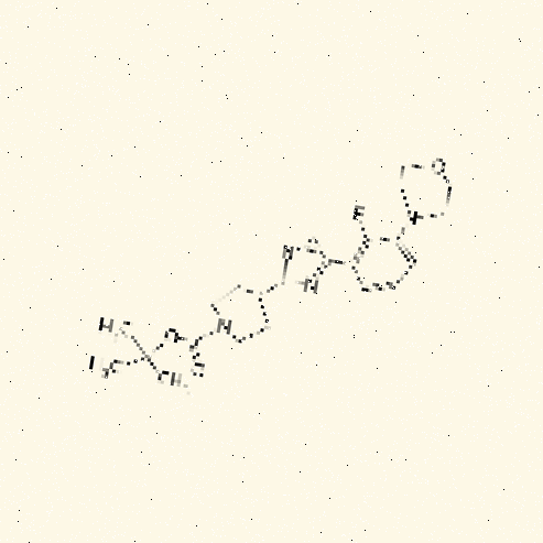 CC(C)(C)OC(=O)N1CCC(c2noc(-c3cccc(N4CCOCC4)c3F)n2)CC1